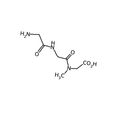 CN(CC(=O)O)C(=O)CNC(=O)CN